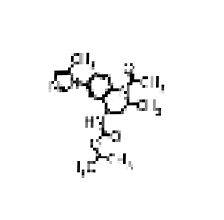 CC(=O)N1c2ccc(-n3cncc3C)cc2[C@H](NC(=O)OC(C)C)C[C@@H]1C